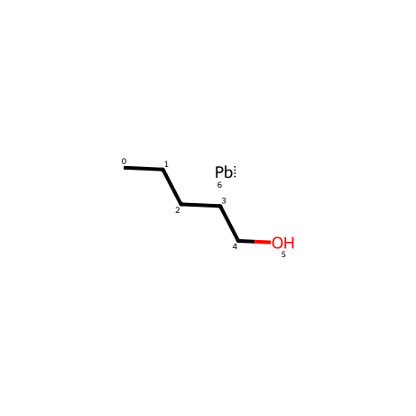 CCCCCO.[Pb]